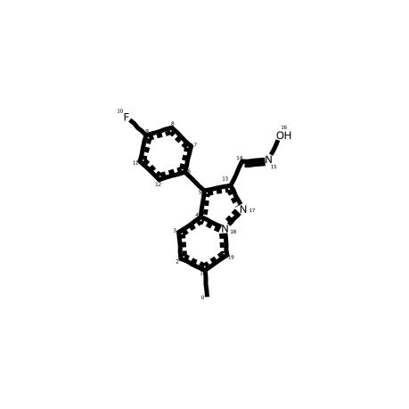 Cc1ccc2c(-c3ccc(F)cc3)c(/C=N/O)nn2c1